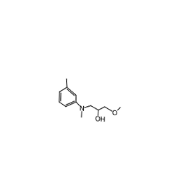 COCC(O)CN(C)c1cccc(C)c1